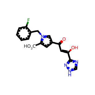 O=C(C=C(O)c1nc[nH]n1)c1cc(C(=O)O)n(Cc2ccccc2F)c1